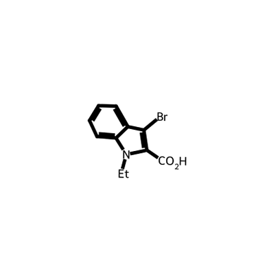 CCn1c(C(=O)O)c(Br)c2ccccc21